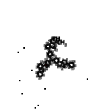 C=C(/C=C\C(=C)c1ccc(N(C2=C[C@@H]3CC3(c3cccc4c3CC3=C4C=CCC3)C=C2)c2ccc(-c3cccc4c3C3CC3C(CC)=C4/C=C\C)cc2)cc1)c1ccccc1